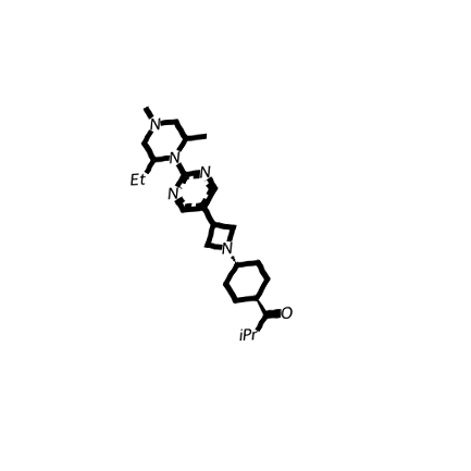 CCC1CN(C)CC(C)N1c1ncc(C2CN([C@H]3CC[C@H](C(=O)C(C)C)CC3)C2)cn1